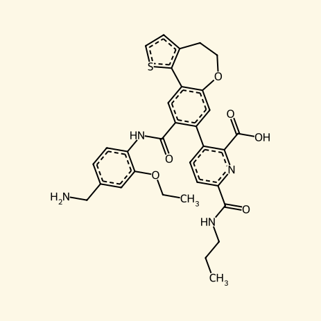 CCCNC(=O)c1ccc(-c2cc3c(cc2C(=O)Nc2ccc(CN)cc2OCC)-c2sccc2CCO3)c(C(=O)O)n1